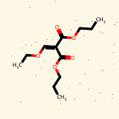 CCCOC(=O)C(=COCC)C(=O)OCCC